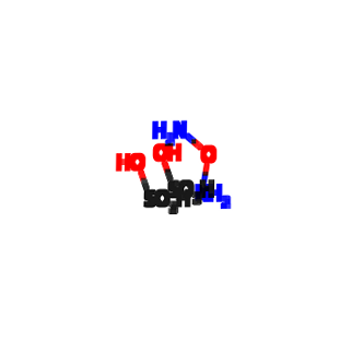 NON.O=S(=O)(O)O.O=S(=O)(O)O